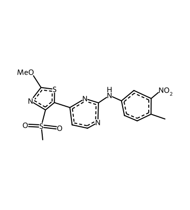 COc1nc(S(C)(=O)=O)c(-c2ccnc(Nc3ccc(C)c([N+](=O)[O-])c3)n2)s1